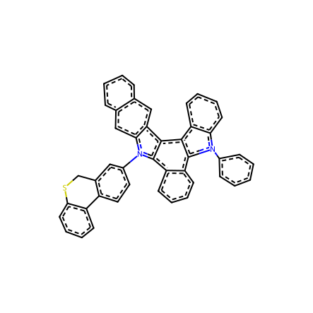 c1ccc(-n2c3ccccc3c3c4c5cc6ccccc6cc5n(-c5ccc6c(c5)CSc5ccccc5-6)c4c4ccccc4c32)cc1